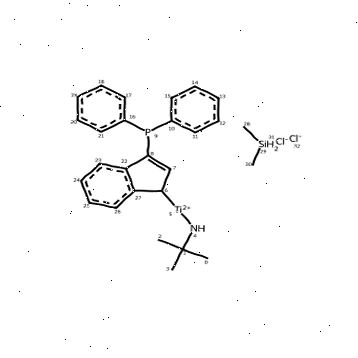 CC(C)(C)[NH][Ti+2][CH]1C=C(P(c2ccccc2)c2ccccc2)c2ccccc21.C[SiH2]C.[Cl-].[Cl-]